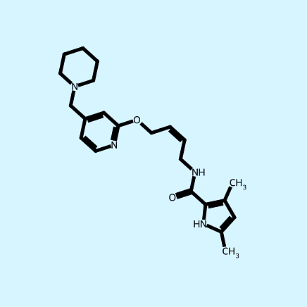 Cc1cc(C)c(C(=O)NC/C=C\COc2cc(CN3CCCCC3)ccn2)[nH]1